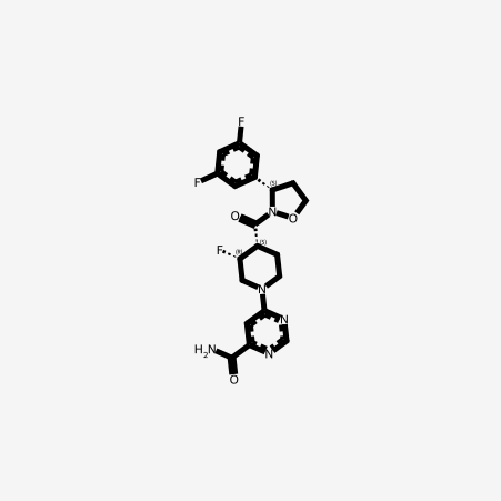 NC(=O)c1cc(N2CC[C@@H](C(=O)N3OCC[C@H]3c3cc(F)cc(F)c3)[C@@H](F)C2)ncn1